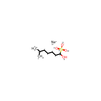 CC(C)CCCCC(O)S(=O)(=O)[O-].[Na+]